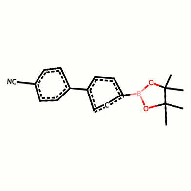 CC1(C)OB(c2ccc(-c3ccc(C#N)cc3)cc2)OC1(C)C